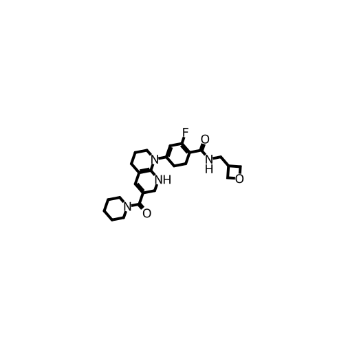 O=C(NCC1COC1)C1=C(F)C=C(N2CCCC3=C2NCC(C(=O)N2CCCCC2)=C3)CC1